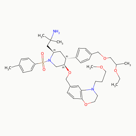 CCOC(C)COCc1ccc([C@H]2C[C@H](CC(C)(C)N)N(S(=O)(=O)c3ccc(C)cc3)C[C@@H]2OCc2ccc3c(c2)N(CCCOC)CCO3)cc1